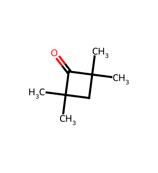 CC1(C)CC(C)(C)C1=O